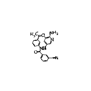 C[C@H](Oc1cc(Cl)cnc1N)c1cccc(NC(=O)c2cccc(C#N)c2)c1